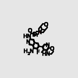 Cc1c(-c2cc3cc(NC(=O)OCCC4C5COCC4CN(C(C)C)C5)ncc3c(N)c2F)cnc2c1NCCO2